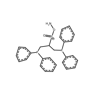 NOS(=O)(=O)C(CP(c1ccccc1)c1ccccc1)CP(c1ccccc1)c1ccccc1